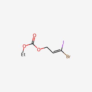 CCOC(=O)OCC=C(Br)I